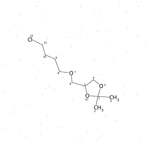 CC1(C)OCC(COCCCCCl)O1